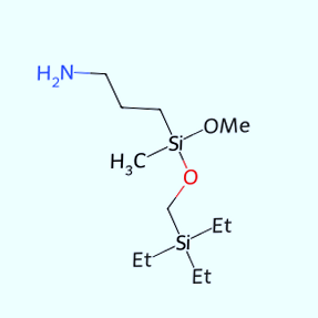 CC[Si](CC)(CC)CO[Si](C)(CCCN)OC